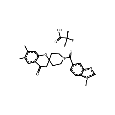 Cc1cc2c(cc1C)C(=O)CC1(CCN(C(=O)c3ccc4c(c3)ncn4C)CC1)O2.O=C(O)C(F)(F)F